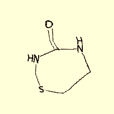 O=C1NCCSN1